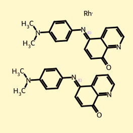 CN(C)c1ccc(/N=C2\C=CC(=O)c3ncccc32)cc1.CN(C)c1ccc(/N=C2\C=CC(=O)c3ncccc32)cc1.[Rh]